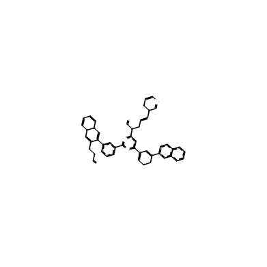 C=CCCC1=CC2C=CC=CC2C=C1c1cccc(-c2nc(C3=CCCC(c4ccc5ccccc5c4)=C3)cc(C(C=C)C/C=C/C3C=NC=CC3)n2)c1